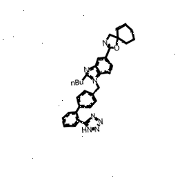 CCCCc1nc2cc(C3=NCC4(CCCCC4)O3)ccc2n1Cc1ccc(-c2ccccc2-c2nnn[nH]2)cc1